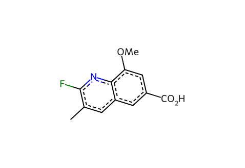 COc1cc(C(=O)O)cc2cc(C)c(F)nc12